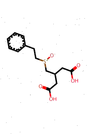 O=C(O)CC(CC(=O)O)C[S+]([O-])CCc1ccccc1